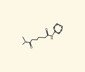 CN(C)C(=O)CCCCC(=O)Nc1ccccc1